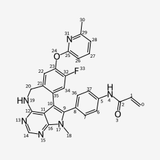 C=CC(=O)Nc1ccc(-c2c3c4c(ncnc4n2C)NCc2cc(Oc4cccc(C)n4)c(F)cc2-3)cc1